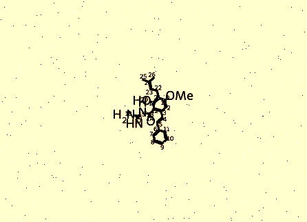 COc1cc(/C=C/c2ccccc2)c(C(=O)NC(=N)N)c(O)c1CC=C(C)C